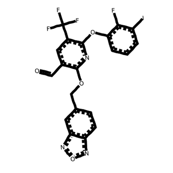 O=Cc1cc(C(F)(F)F)c(Oc2cccc(I)c2F)nc1OCc1ccc2nonc2c1